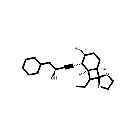 CCC1[C@H]2[C@H](C#C[C@@H](O)CC3CCCCC3)[C@@H](O)CC[C@@]2(C)C12OCCO2